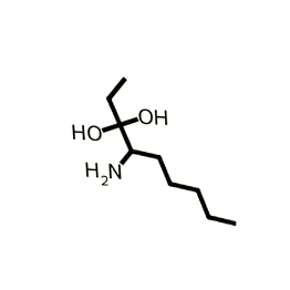 CCCCCC(N)C(O)(O)CC